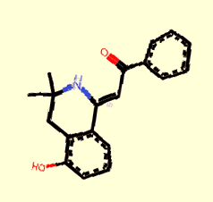 CC1(C)Cc2c(O)cccc2/C(=C/C(=O)c2ccccc2)N1